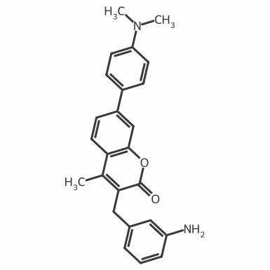 Cc1c(Cc2cccc(N)c2)c(=O)oc2cc(-c3ccc(N(C)C)cc3)ccc12